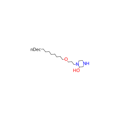 CCCCCCCCCCCCCCCCCCOCCCN1CCNCC1O